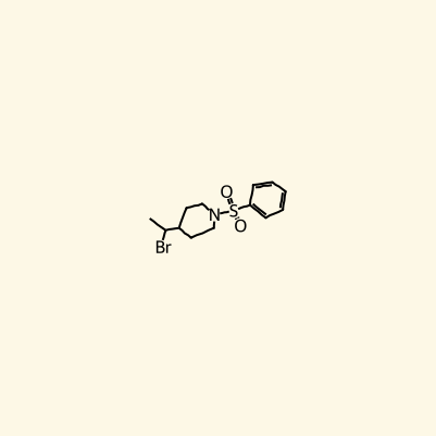 CC(Br)C1CCN(S(=O)(=O)c2ccccc2)CC1